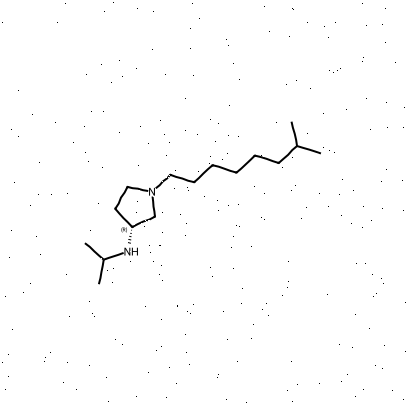 CC(C)CCCCCCN1CC[C@@H](NC(C)C)C1